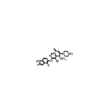 C=C/C=C(\C(N)c1ncnc(Oc2ccc3[nH]c(C)cc3c2F)c1Br)N1CCNCC1